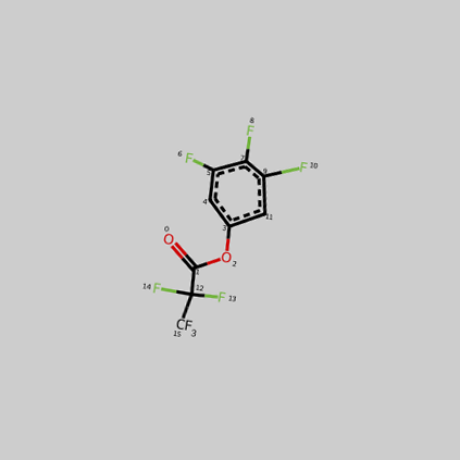 O=C(Oc1cc(F)c(F)c(F)c1)C(F)(F)C(F)(F)F